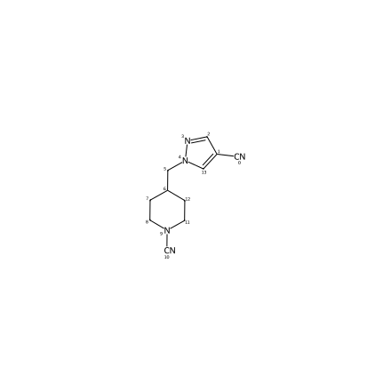 N#Cc1cnn(CC2CCN(C#N)CC2)c1